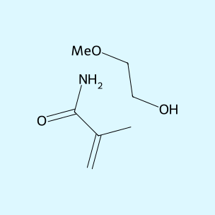 C=C(C)C(N)=O.COCCO